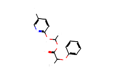 CC(OC(=O)C(C)Oc1ccccc1)Oc1ccc(C(F)(F)F)cn1